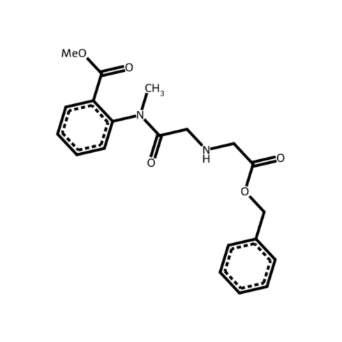 COC(=O)c1ccccc1N(C)C(=O)CNCC(=O)OCc1ccccc1